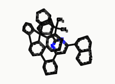 CC1(C)c2ccccc2C2(c3ccccc3-c3ccc(-c4ccccc4-c4cc(-c5cccc6ccccc56)nc(-c5ccccc5)n4)cc32)c2ccccc21